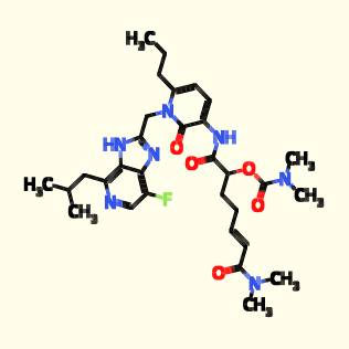 CCCc1ccc(NC(=O)C(CCC=CC(=O)N(C)C)OC(=O)N(C)C)c(=O)n1Cc1nc2c(F)cnc(CC(C)C)c2[nH]1